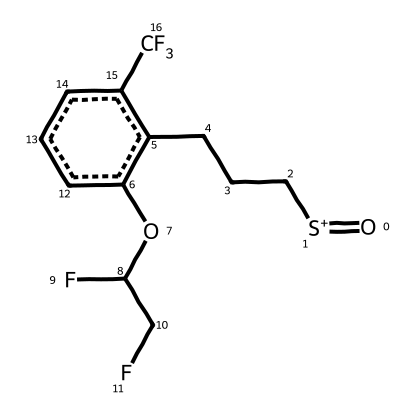 O=[S+]CCCc1c(OC(F)CF)cccc1C(F)(F)F